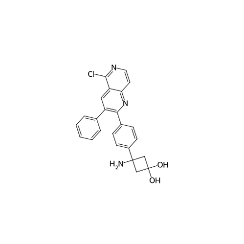 NC1(c2ccc(-c3nc4ccnc(Cl)c4cc3-c3ccccc3)cc2)CC(O)(O)C1